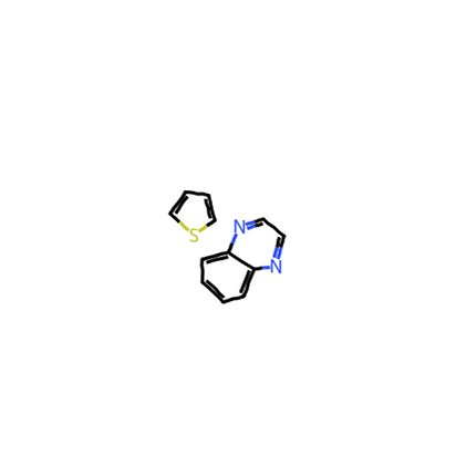 c1ccc2nccnc2c1.c1ccsc1